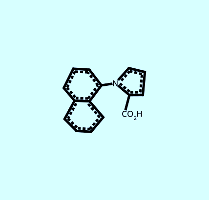 O=C(O)c1cccn1-c1cccc2ccccc12